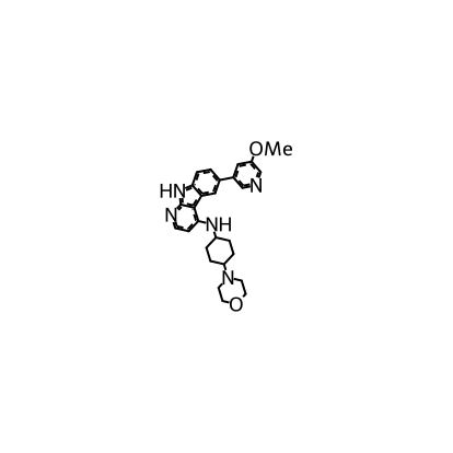 COc1cncc(-c2ccc3[nH]c4nccc(NC5CCC(N6CCOCC6)CC5)c4c3c2)c1